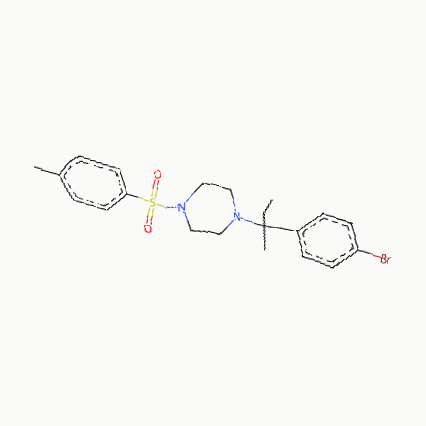 Cc1ccc(S(=O)(=O)N2CCN(C(C)(C)c3ccc(Br)cc3)CC2)cc1